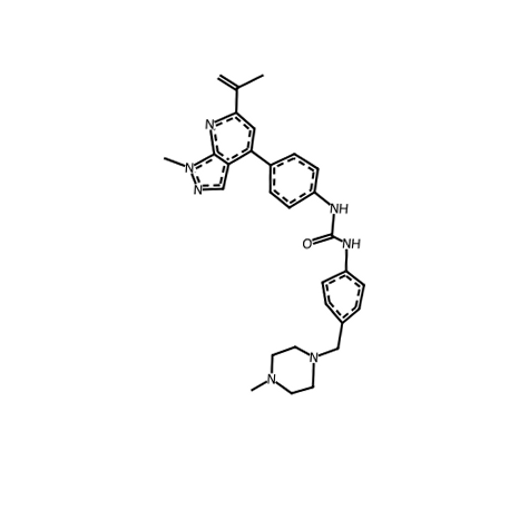 C=C(C)c1cc(-c2ccc(NC(=O)Nc3ccc(CN4CCN(C)CC4)cc3)cc2)c2cnn(C)c2n1